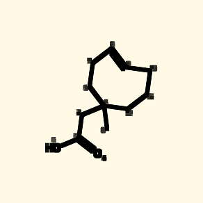 CC1(CC(=O)O)CC/C=C/CCC1